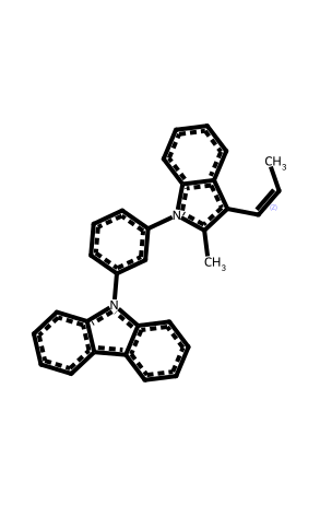 C/C=C\c1c(C)n(-c2cccc(-n3c4ccccc4c4ccccc43)c2)c2ccccc12